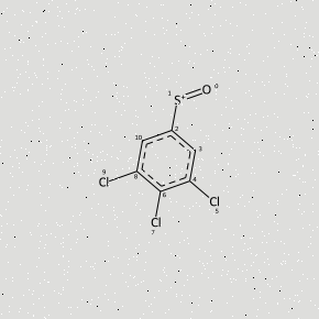 O=[S+]c1cc(Cl)c(Cl)c(Cl)c1